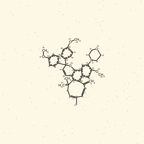 C=C1/C=C\C(F)=C/CC(C)(C)c2c3c(c4cc(N5CCOCC5)c(OC)cc4c21)OC(c1ccc(OC)cc1)(c1ccc(OC)cc1)C=C3